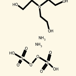 N.N.O=S(=O)(O)OOS(=O)(=O)O.OCCN(CCO)CCO